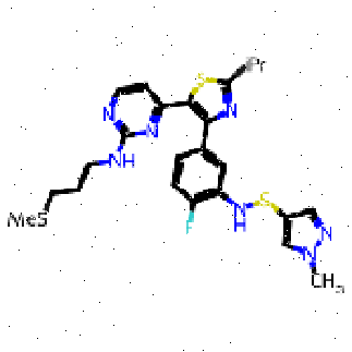 CSCCCNc1nccc(-c2sc(C(C)C)nc2-c2ccc(F)c(NSc3cnn(C)c3)c2)n1